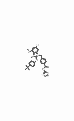 COc1cc(Cl)cc2c1n(C)c(=Nc1ccc(C(C)(C)C)cc1)n2Cc1ccc(C(=O)Nc2nnn[nH]2)cc1